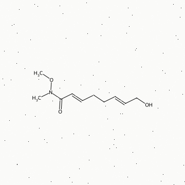 CON(C)C(=O)/C=C/CC/C=C/CO